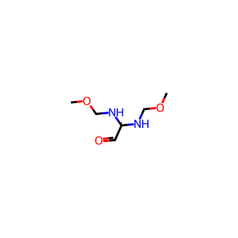 COCN[C](C=O)NCOC